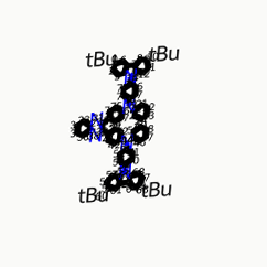 CC(C)(C)c1ccc2c(c1)c1cc(C(C)(C)C)ccc1n2-c1ccc(N(c2ccccc2)c2ccc(-c3nc4ccccc4nc3-c3ccc(N(c4ccccc4)c4ccc(-n5c6ccc(C(C)(C)C)cc6c6cc(C(C)(C)C)ccc65)cc4)cc3)cc2)cc1